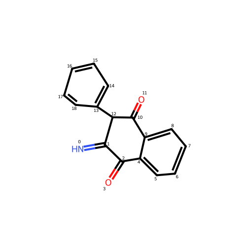 N=C1C(=O)c2ccccc2C(=O)C1c1ccccc1